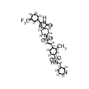 Cc1cc(S(=O)(=O)NCc2cccnc2)ccc1/C=C/S(=O)(=O)N1CCC2(CC1)N=C(c1cccc(C(F)(F)F)c1)NC2=O